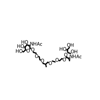 CC(=O)N[C@@H](C)[C@H](OCCOCCOCC(C)COCCOCCO[C@@H]1OC(CO)[C@H](O)C(O)[C@@H]1NC(C)=O)OC(CO)[C@H](O)CO